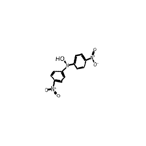 O=[N+]([O-])c1ccc(N(O)c2ccc([N+](=O)[O-])cc2)cc1